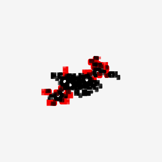 COC(=O)[C@H]1O[C@@H](O[C@H]2CC[C@]3(C)[C@H]4CC=C5[C@H]6[C@](C(=O)O[C@@H]7O[C@H](CO)[C@@H](O)[C@H](O)[C@H]7O)(CC[C@@H](C)[C@@]6(C)O)CC[C@@]5(C)[C@]4(C)CC[C@H]3C2(C)C)[C@H](O)[C@@H](OS(=O)(=O)[O-])[C@@H]1O.[Na+]